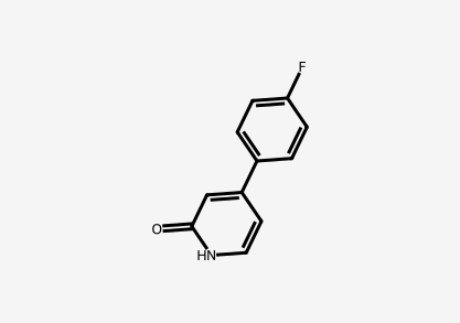 O=c1cc(-c2ccc(F)cc2)cc[nH]1